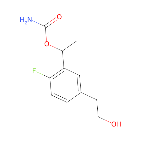 CC(OC(N)=O)c1cc(CCO)ccc1F